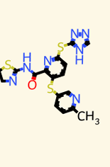 Cc1ccc(Sc2ccc(Sc3nnc[nH]3)nc2C(=O)NC2=NCCS2)cn1